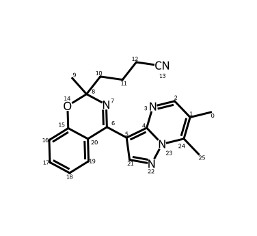 Cc1cnc2c(C3=NC(C)(CCCC#N)Oc4ccccc43)cnn2c1C